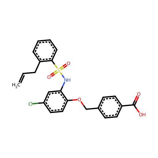 C=CCc1ccccc1S(=O)(=O)Nc1cc(Cl)ccc1OCc1ccc(C(=O)O)cc1